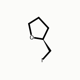 IC[C@@H]1CCCO1